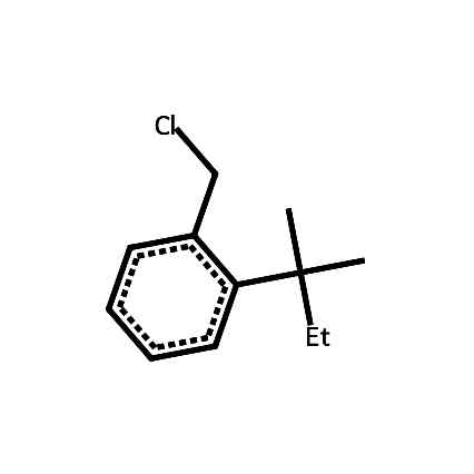 CCC(C)(C)c1ccccc1CCl